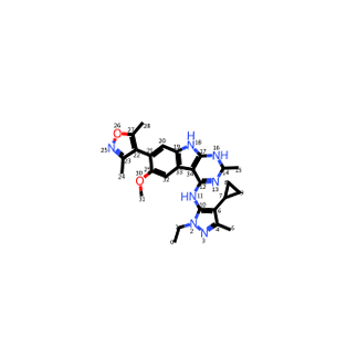 CCn1nc(C)c(C2CC2)c1NC1=NC(C)Nc2[nH]c3cc(-c4c(C)noc4C)c(OC)cc3c21